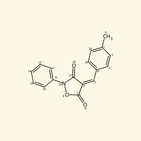 Cc1ccc(C=C2C(=O)ON(c3ccccc3)C2=O)cc1